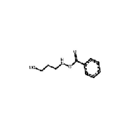 O=C(ONCCCO)c1ccccc1